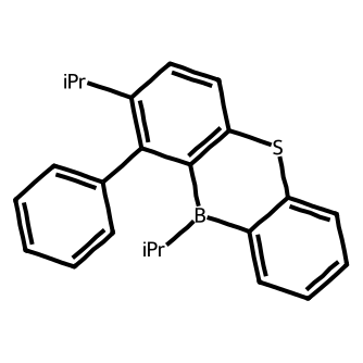 CC(C)B1c2ccccc2Sc2ccc(C(C)C)c(-c3ccccc3)c21